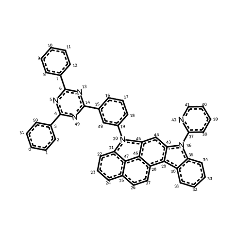 c1ccc(-c2nc(-c3ccccc3)nc(-c3cccc(-n4c5cccc6ccc7c8c9ccccc9n(-c9ccccn9)c8cc4c7c65)c3)n2)cc1